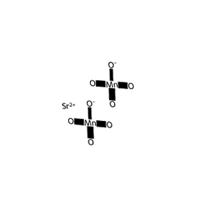 [O]=[Mn](=[O])(=[O])[O-].[O]=[Mn](=[O])(=[O])[O-].[Sr+2]